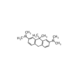 CN(C)c1ccc2c(c1)C(C)(C)c1cc(N(C)C)ccc1C2